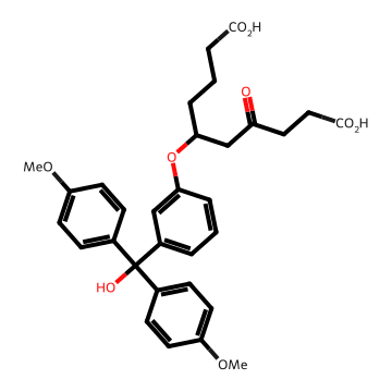 COc1ccc(C(O)(c2ccc(OC)cc2)c2cccc(OC(CCCC(=O)O)CC(=O)CCC(=O)O)c2)cc1